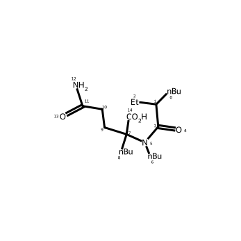 CCCCC(CC)C(=O)N(CCCC)C(CCCC)(CCC(N)=O)C(=O)O